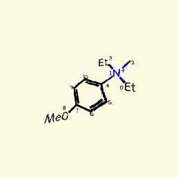 CC[N+](C)(CC)c1ccc(OC)cc1